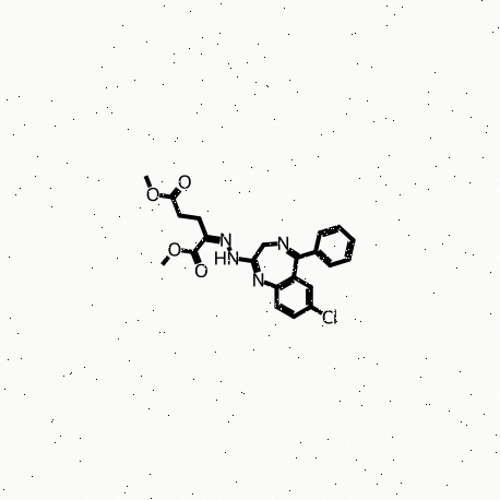 COC(=O)CCC(=NNC1=Nc2ccc(Cl)cc2C(c2ccccc2)=NC1)C(=O)OC